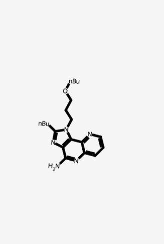 CCCCOCCCn1c(CCCC)nc2c(N)nc3cccnc3c21